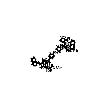 CN[C@@H](C)C(=O)NC(C(=O)N1CC(NC(=O)c2ccc(COc3ccc(CN(NC(=O)[C@H](C)NC)C(=O)C4CCCCC4C(=O)NC4CCCc5ccccc54)cc3)cc2)CC1C(=O)NC1CCCc2ccccc21)C(C)(C)C